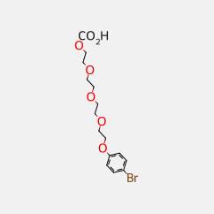 O=C(O)OCCOCCOCCOCCOc1ccc(Br)cc1